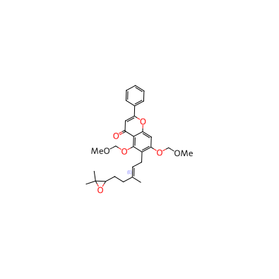 COCOc1cc2oc(-c3ccccc3)cc(=O)c2c(OCOC)c1C/C=C(\C)CCC1OC1(C)C